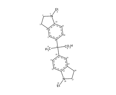 CCN1CCc2cc(C(C)(C(=O)O)c3ccc4c(c3)CCN4CC)ccc21